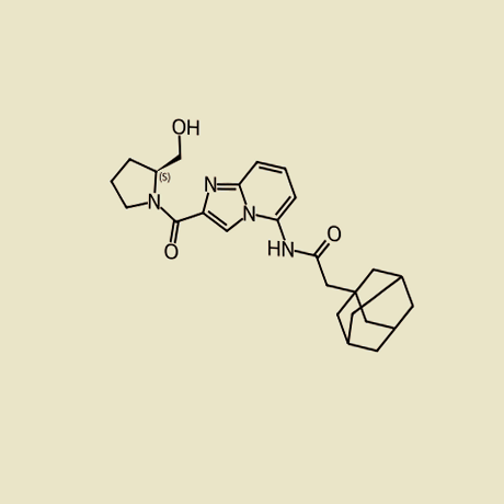 O=C(CC12CC3CC(CC(C3)C1)C2)Nc1cccc2nc(C(=O)N3CCC[C@H]3CO)cn12